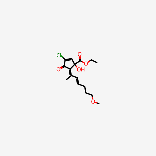 CCOC(=O)C1(O)C=C(Cl)C(=O)C1=C(C)C=CCCCOC